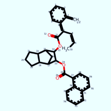 C=c1cccc/c1=C(/C=C\C)C(=O)OC1C2CC(C3CCCC32)C1OC(=O)c1cccc2ccccc12